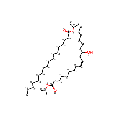 CCCCCCC(O)C/C=C\CCCCCCCC(=O)OC(C)C.CCCCCCCCCCCCCCCCCC(=O)OC(C)C